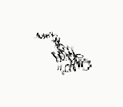 CCOc1nc(N2CCC(NC)CC2)ccc1-c1nc2c(C)nn(-c3ccccc3)c2c(=O)[nH]1